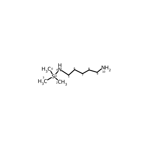 C[Si](C)(C)NCCCCCN